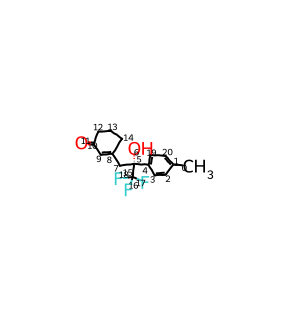 Cc1ccc([C@](O)(CC2=CC(=O)CCC2)C(F)(F)F)cc1